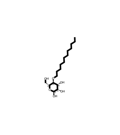 CCCCCCCCCCCCO[C@H]1[C@H](O)[C@H](O)[C@@H](O)O[C@@H]1CO